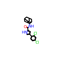 O=C(NC1C2CC3CC(C2)CC1C3)c1cc(-c2ccc(Cl)cc2Cl)c[nH]1